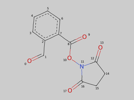 O=Cc1ccccc1C(=O)ON1C(=O)CCC1=O